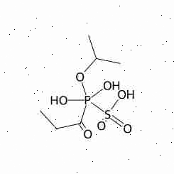 CCC(=O)P(O)(O)(OC(C)C)S(=O)(=O)O